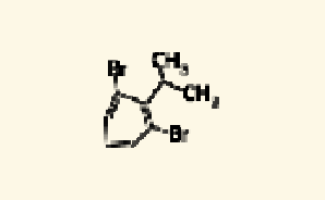 CC(C)c1c(Br)cccc1Br